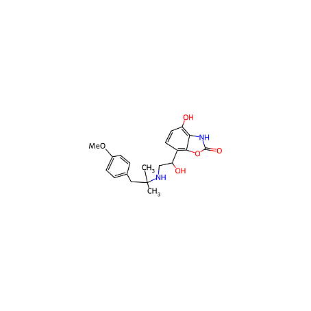 COc1ccc(CC(C)(C)NCC(O)c2ccc(O)c3[nH]c(=O)oc23)cc1